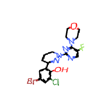 Oc1c(Cl)cc(Br)cc1C1=NN(c2ncc(F)c(N3CCOCC3)n2)CCC1